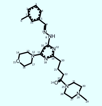 Cc1cccc(C=NNc2cc(N3CCOCC3)nc(CCCC(=O)N3CCN(C)CC3)n2)c1